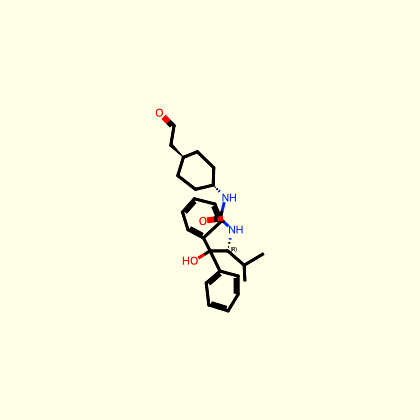 CC(C)[C@@H](NC(=O)N[C@H]1CC[C@H](CC=O)CC1)C(O)(c1ccccc1)c1ccccc1